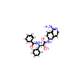 Nc1nccc2cc(NC(=O)C(O)C(NC(=O)c3ccccc3)c3ccccc3)ccc12